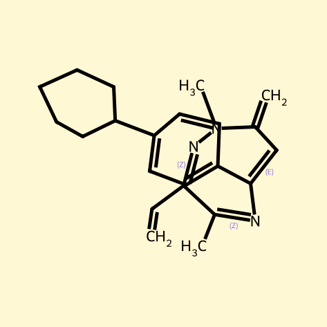 C=CC1=N/N(C)C(=C)/C=C(c2ccc(C3CCCCC3)cc2)/N=C\1C